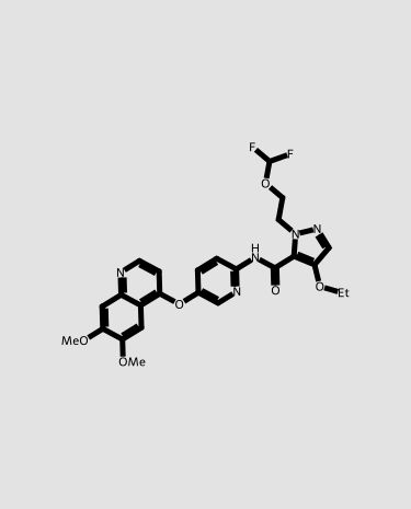 CCOc1cnn(CCOC(F)F)c1C(=O)Nc1ccc(Oc2ccnc3cc(OC)c(OC)cc23)cn1